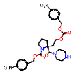 O=C(OCCC1(C(=O)N2CCNCC2)CCCN1C(=O)OCc1ccc([N+](=O)[O-])cc1)OCc1ccc([N+](=O)[O-])cc1